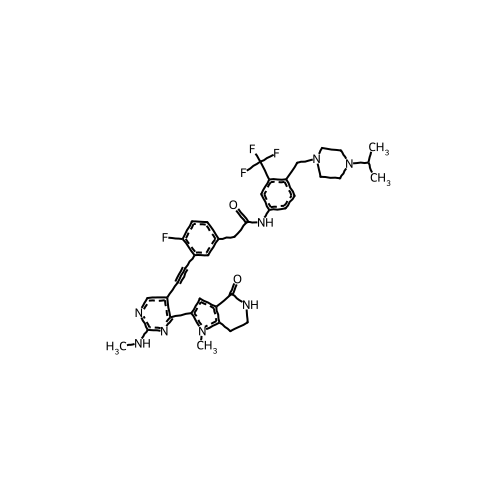 CNc1ncc(C#Cc2cc(CC(=O)Nc3ccc(CN4CCN(C(C)C)CC4)c(C(F)(F)F)c3)ccc2F)c(-c2cc3c(n2C)CCNC3=O)n1